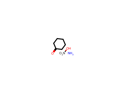 N.O=C1CCCCC1.O=[N+]([O-])O